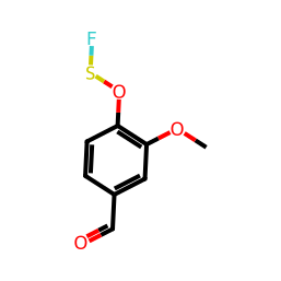 COc1cc(C=O)ccc1OSF